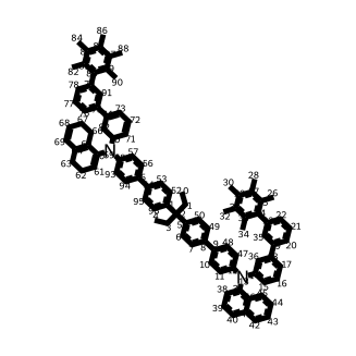 CCC(CC)(c1ccc(-c2ccc(N(c3cccc(-c4cccc(-c5c(C)c(C)c(C)c(C)c5C)c4)c3)c3cccc4ccccc34)cc2)cc1)c1ccc(-c2ccc(N(C3=CCCC4=C3CCC=C4)C3C=CC=C(c4cccc(-c5c(C)c(C)c(C)c(C)c5C)c4)C3)cc2)cc1